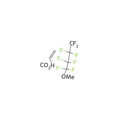 C=CC(=O)O.COC(F)(F)C(F)(F)C(F)(F)C(F)(F)F